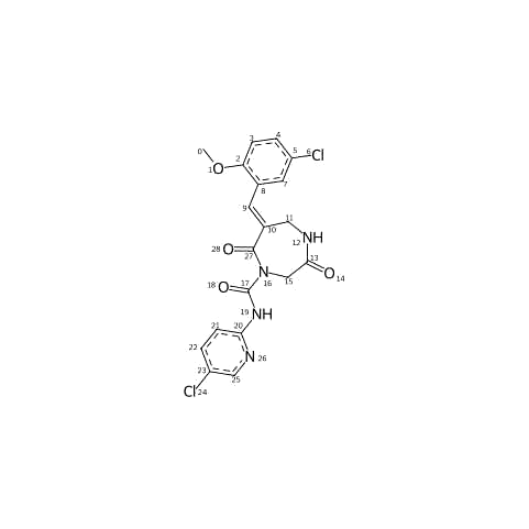 COc1ccc(Cl)cc1/C=C1\CNC(=O)CN(C(=O)Nc2ccc(Cl)cn2)C1=O